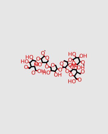 COC1COC(OC2COC(OC3COC(OC4COC(OC)C(OC5OC(C(=O)O)C(C=O)C(O)C5O)C4O)C(O)C3O)C(OC3OC(C(=O)O)C(C=O)C(O)C3O)C2O)C(O)C1O